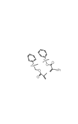 C=C(C)C(=O)OC[Si](C)(C)c1ccccc1.C=C(CCC)C(=O)O[Si](C)(C)c1ccccc1